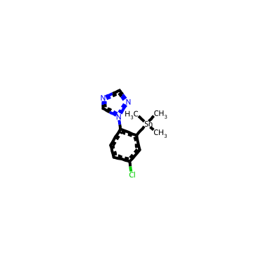 [CH3][Sn]([CH3])([CH3])[c]1cc(Cl)ccc1-n1cncn1